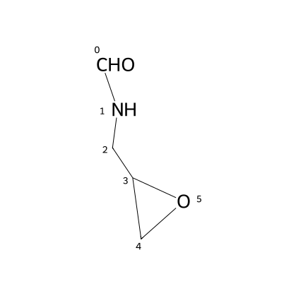 O=CNCC1CO1